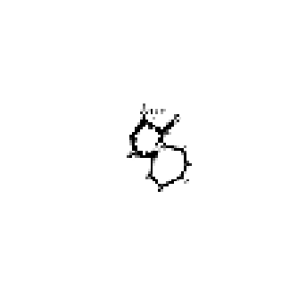 CCOC(=O)c1cnc2n(c1=O)CCCCC2